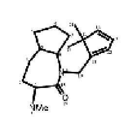 CNC1CCC2CCCC2N(CC2=CC=CC2(C)C)C1=O